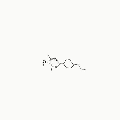 CCCC1CCC(c2cc(C)c(OC)c(C)c2)CC1